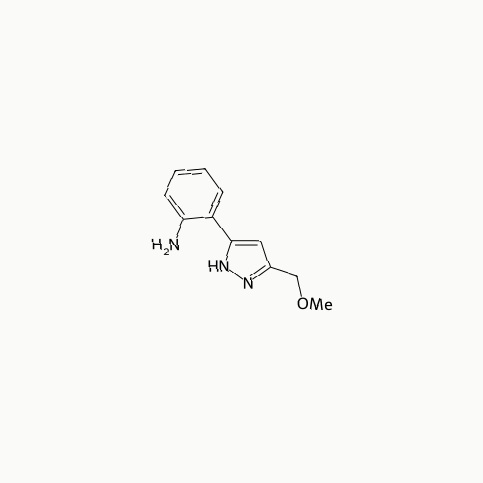 COCc1cc(-c2ccccc2N)[nH]n1